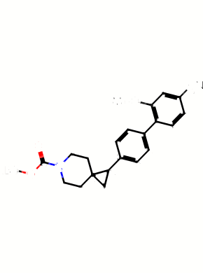 COc1cc(C#N)ccc1-c1ccc(C2CC23CCN(C(=O)OC(C)(C)C)CC3)cc1